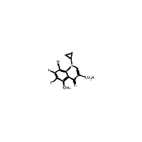 COc1c(F)c(F)c(Br)c2c1c(=O)c(C(=O)O)cn2C1CC1